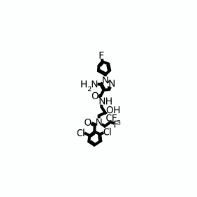 Nc1c(C(=O)NCC(O)(CN(CCF)C(=O)c2c(Cl)cccc2Cl)C(F)(F)F)cnn1-c1ccc(F)cc1